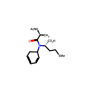 CSCC[C@@H](C(=O)O)N(C(=O)[C@H](C)NC(C)=O)C1C=CC=CC1